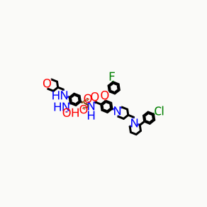 O=C(NS(=O)(=O)c1ccc(NCC2CCOCC2)c(NO)c1)c1ccc(N2CCC(CN3CCCCC3c3ccc(Cl)cc3)CC2)cc1Oc1cccc(F)c1